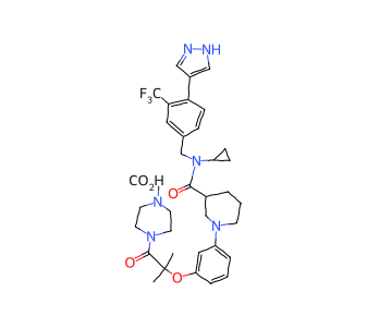 CC(C)(Oc1cccc(N2CCCC(C(=O)N(Cc3ccc(-c4cn[nH]c4)c(C(F)(F)F)c3)C3CC3)C2)c1)C(=O)N1CCN(C(=O)O)CC1